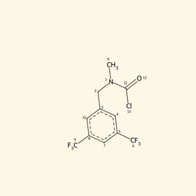 CN(Cc1cc(C(F)(F)F)cc(C(F)(F)F)c1)C(=O)Cl